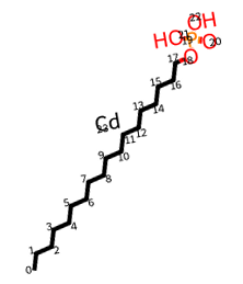 CCCCCCCCCCCCCCCCCCOP(=O)(O)O.[Cd]